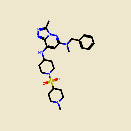 Cc1nnc2c(NC3CCN(S(=O)(=O)C4CCN(C)CC4)CC3)cc(N(C)Cc3ccccc3)nn12